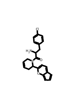 NC(Cc1ccc(Cl)cc1)C(=O)N1CC=CCC1c1ccc2cccc-2o1